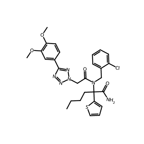 CCCCC(C(N)=O)(c1cccs1)N(Cc1ccccc1Cl)C(=O)Cn1nnc(-c2ccc(OC)c(OC)c2)n1